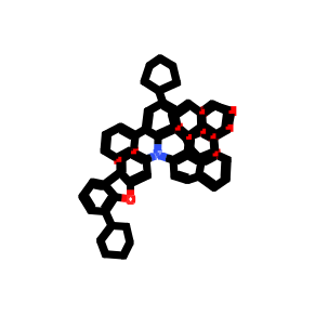 c1ccc(-c2cc(C3CCCCC3)cc(-c3ccccc3)c2N(c2ccc3c(c2)oc2c(C4CCCCC4)cccc23)c2ccc3cccc(C4CCCCC4)c3c2-c2cccc3ccccc23)cc1